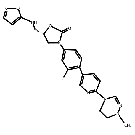 CN1CCN(c2ccc(-c3ccc(N4C[C@H](CNc5ccno5)OC4=O)cc3F)cn2)C=N1